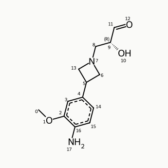 COc1cc(C2CN(C[C@@H](O)C=O)C2)ccc1N